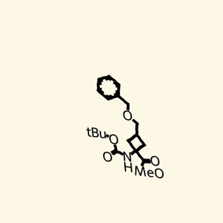 COC(=O)C1(NC(=O)OC(C)(C)C)CC(COCc2ccccc2)C1